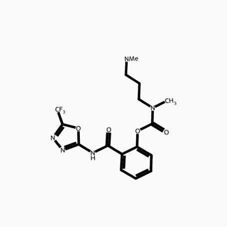 CNCCCN(C)C(=O)Oc1ccccc1C(=O)Nc1nnc(C(F)(F)F)o1